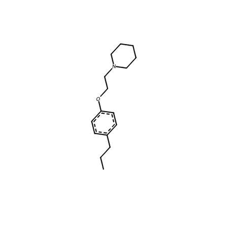 CCCc1ccc(OCCN2CCCCC2)cc1